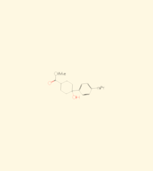 CCCc1ccc(C2(O)CCC(C(=O)OC)CC2)cc1